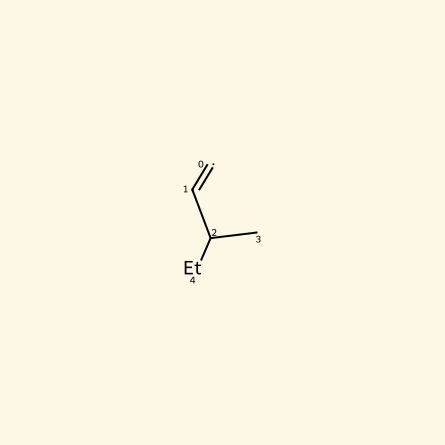 [CH]=CC(C)C[CH2]